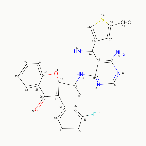 CC(Nc1ncnc(N)c1C(=N)c1csc(C=O)c1)c1oc2ccccc2c(=O)c1-c1cccc(F)c1